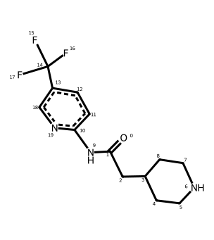 O=C(CC1CCNCC1)Nc1ccc(C(F)(F)F)cn1